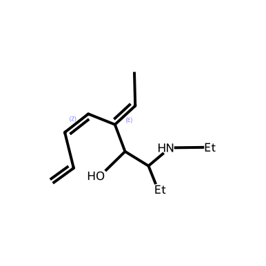 C=C/C=C\C(=C/C)C(O)C(CC)NCC